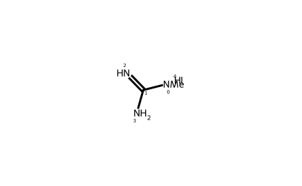 CNC(=N)N.I